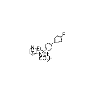 CCC(CC)(c1ccc(-c2ccc(F)cc2)cc1)N(C(=O)O)C1CN2CCC1CC2